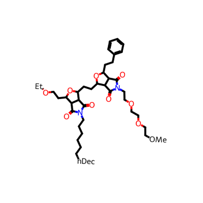 CCCCCCCCCCCCCCCCN1C(=O)C2C(CCOCC)OC(CCC3OC(CCc4ccccc4)C4C(=O)N(CCOCCOCCOC)C(=O)C34)C2C1=O